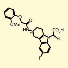 CCC(C(=O)O)n1c2c(c3cc(F)ccc31)C[C@@H](NC(=O)COc1ccccc1OC)CC2